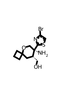 N[C@@]1(c2nc(Br)cs2)COC2(CCC2)C[C@H]1CO